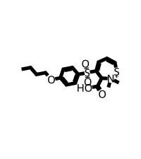 CCCCOc1ccc(S(=O)(=O)C2=CC=CS[N+](C)(C)C2C(=O)O)cc1